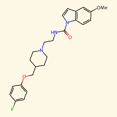 COc1ccc2c(ccn2C(=O)NCCN2CCC(COc3ccc(F)cc3)CC2)c1